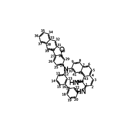 N=C1C=Cc2ccc3ccc(N(c4cccc(-c5ccccc5)c4)c4ccc5c(c4)oc4cc6ccccc6cc45)cc3c2C1=N